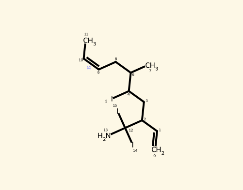 C=CC(CC(I)C(C)C/C=C\C)C(N)(I)I